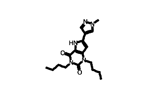 CCCCn1c(=O)c2[nH]c(-c3cnn(C)c3)cc2n(CCCC)c1=O